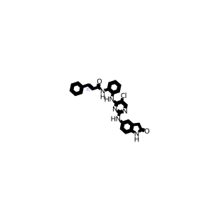 O=C(/C=C/c1ccccc1)Nc1ccccc1Nc1nc(Nc2ccc3c(c2)CC(=O)N3)ncc1Cl